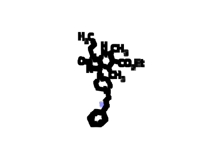 C=CCn1c2c(c(N3CCN(C/C=C/c4ccccc4)CC3)nc1=O)C(C)C(C(=O)OCC)=C(C)N2